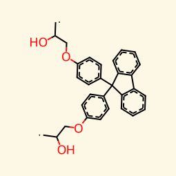 [CH2]C(O)COc1ccc(C2(c3ccc(OCC([CH2])O)cc3)c3ccccc3-c3ccccc32)cc1